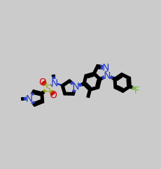 Cc1cc2c(cnn2-c2ccc(F)cc2)cc1N1CC[C@@H](N(C)S(=O)(=O)c2ccn(C)c2)C1